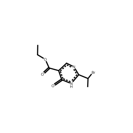 CCOC(=O)c1cnc(C(C)Br)[nH]c1=O